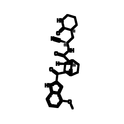 COc1cccc2[nH]c(C(=O)N3C4CCC(CC4)[C@H]3C(=O)N[C@H](C#N)C[C@@H]3CCCNC3=O)cc12